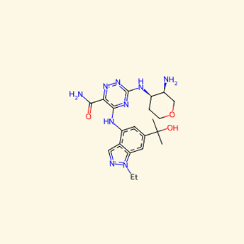 CCn1ncc2c(Nc3nc(N[C@@H]4CCOC[C@@H]4N)nnc3C(N)=O)cc(C(C)(C)O)cc21